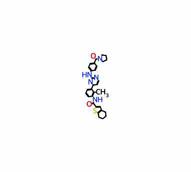 Cc1c(NC(=O)c2cc3c(s2)CCCC3)cccc1-c1ccnc(Nc2ccc(C(=O)N3CCCC3)cc2)n1